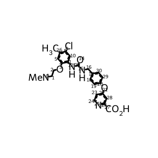 CNCCOc1cc(C)c(Cl)cc1NC(=O)NCc1ccc(Oc2ccnc(C(=O)O)c2)cc1